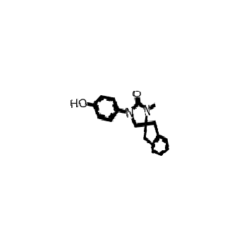 CN1C(=O)N(c2ccc(O)cc2)CC12Cc1ccccc1C2